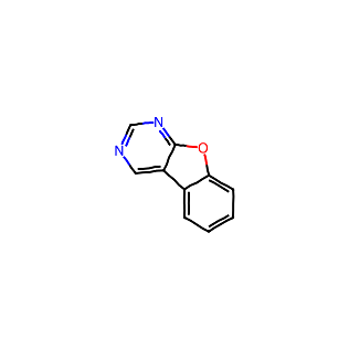 c1ccc2c(c1)oc1ncncc12